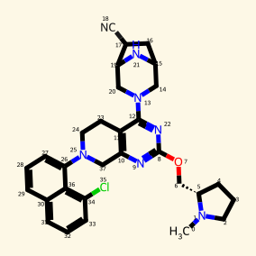 CN1CCC[C@H]1COc1nc2c(c(N3CC4CC(C#N)C(C3)N4)n1)CCN(c1cccc3cccc(Cl)c13)C2